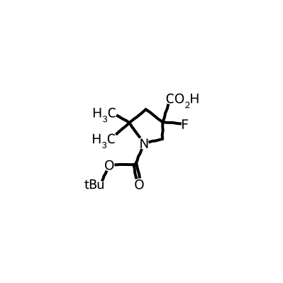 CC(C)(C)OC(=O)N1CC(F)(C(=O)O)CC1(C)C